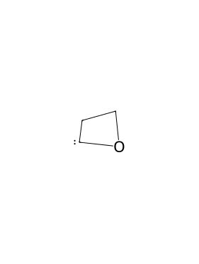 [C]1CCO1